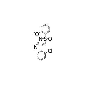 COc1ccccc1S(=O)(/C=C/c1ccccc1Cl)=NC#N